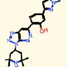 Cn1ccc(-c2ccc(-c3cc4nnn(C5CC(C)(C)NC(C)(C)C5)c4nn3)c(O)c2)n1